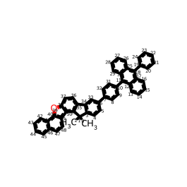 CC1(C)c2ccc(-c3ccc(-c4c5ccccc5c(-c5ccccc5)c5ccccc45)cc3)cc2-c2ccc3oc4c5ccccc5ccc4c3c21